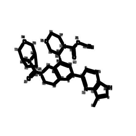 Cc1c[nH]c2ncc(-c3cc4c(c([C@@H]5COCCN5C(=O)OC(C)(C)C)c3)CN(C(=O)N3C5CCC3COC5)CC4)nc12